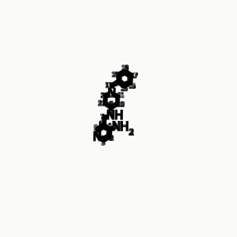 Nc1ccncc1CNC1CCN(Cc2ccccc2)CC1